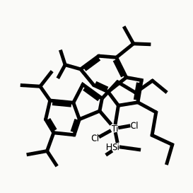 CCCCC1=Cc2c(C(C)C)cc(C(C)C)cc2[CH]1[Ti]([Cl])([Cl])([CH]1C(CCCC)=Cc2c(C(C)C)cc(C(C)C)cc21)[SiH](C)C